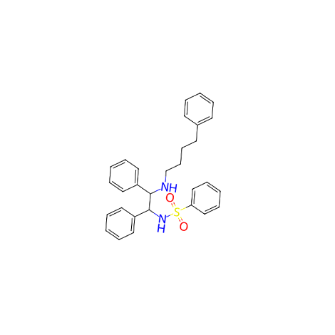 O=S(=O)(NC(c1ccccc1)C(NCCCCc1ccccc1)c1ccccc1)c1ccccc1